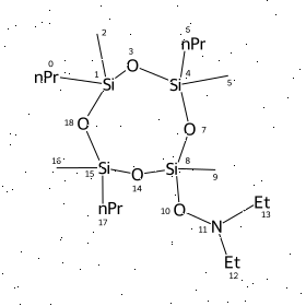 CCC[Si]1(C)O[Si](C)(CCC)O[Si](C)(ON(CC)CC)O[Si](C)(CCC)O1